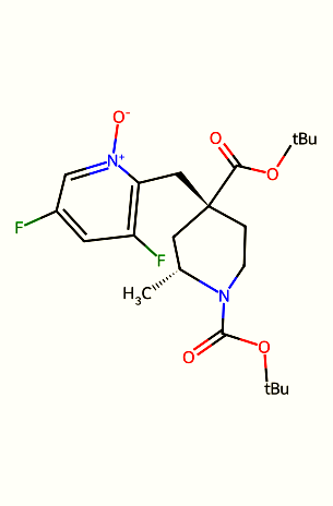 C[C@@H]1C[C@](Cc2c(F)cc(F)c[n+]2[O-])(C(=O)OC(C)(C)C)CCN1C(=O)OC(C)(C)C